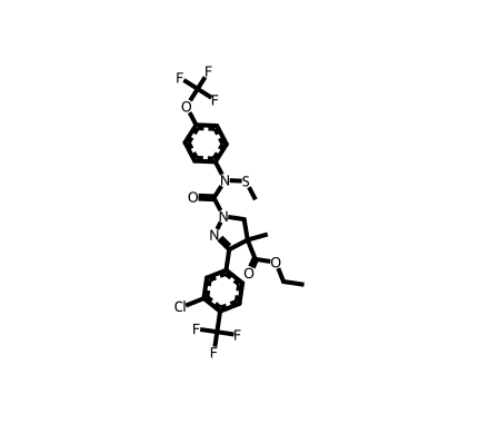 CCOC(=O)C1(C)CN(C(=O)N(SC)c2ccc(OC(F)(F)F)cc2)N=C1c1ccc(C(F)(F)F)c(Cl)c1